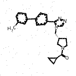 Cc1cccc(-c2ccc(-c3nncn3C[C@@H]3CCN(C(=O)C4CC4)C3)cc2)c1